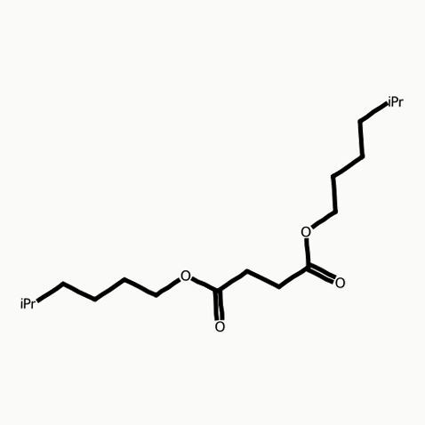 CC(C)CCCCOC(=O)CCC(=O)OCCCCC(C)C